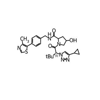 Cc1ncsc1-c1ccc(CNC(=O)C2CC(O)CN2C(=O)[C@@H](n2cc(C3CC3)nn2)C(C)(C)C)cc1